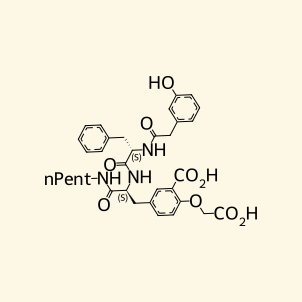 CCCCCNC(=O)[C@H](Cc1ccc(OCC(=O)O)c(C(=O)O)c1)NC(=O)[C@H](Cc1ccccc1)NC(=O)Cc1cccc(O)c1